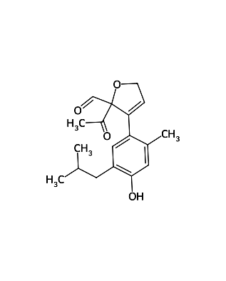 CC(=O)C1(C=O)OCC=C1c1cc(CC(C)C)c(O)cc1C